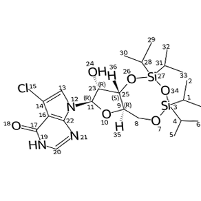 CC(C)[Si]1(C(C)C)OC[C@H]2O[C@@H](n3cc(Cl)c4c(=O)[nH]cnc43)[C@H](O)[C@@H]2O[Si](C(C)C)(C(C)C)O1